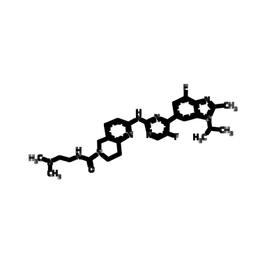 Cc1nc2c(F)cc(-c3nc(Nc4ccc5c(n4)CCN(C(=O)NCCN(C)C)C5)ncc3F)cc2n1C(C)C